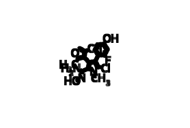 Cc1coc(C)c1-c1c(-c2ccc(O)cc2F)c(Cl)n(C)c1/C(N)=N/O